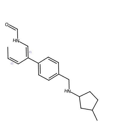 C/C=C\C(=C/NC=O)c1ccc(CNC2CCC(C)C2)cc1